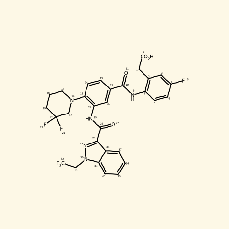 O=C(O)Cc1cc(F)ccc1NC(=O)c1ccc(N2CCCC(F)(F)C2)c(NC(=O)c2nn(CC(F)(F)F)c3ccccc23)c1